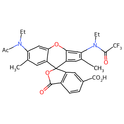 CCN(C(C)=O)c1cc2c(cc1C)C1(OC(=O)c3ccc(C(=O)O)cc31)c1cc(C)c(N(CC)C(=O)C(F)(F)F)cc1O2